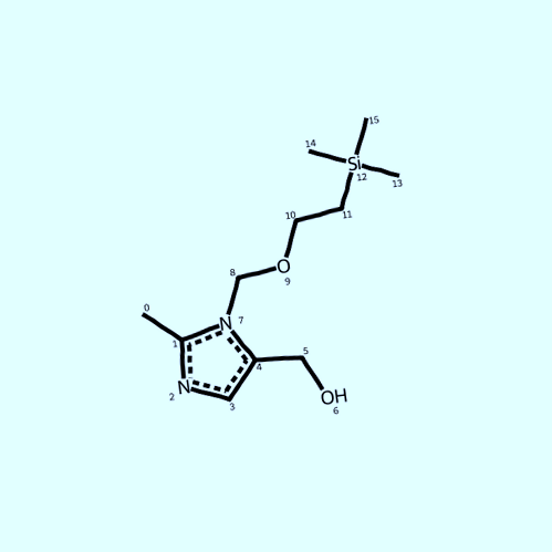 Cc1ncc(CO)n1COCC[Si](C)(C)C